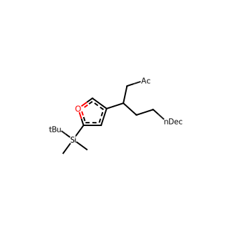 CCCCCCCCCCCCC(CC(C)=O)c1coc([Si](C)(C)C(C)(C)C)c1